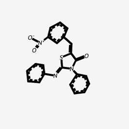 O=C1C(=Cc2cccc([N+](=O)[O-])c2)SC(=Nc2ccccc2)N1c1ccccc1